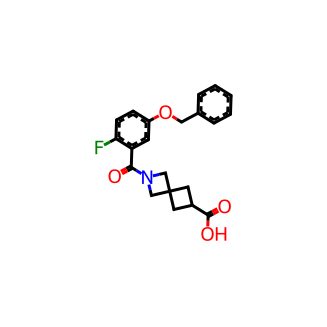 O=C(O)C1CC2(C1)CN(C(=O)c1cc(OCc3ccccc3)ccc1F)C2